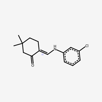 CC1(C)CC/C(=C\Nc2cccc(Cl)c2)C(=O)C1